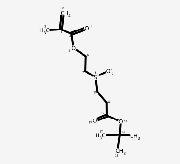 C=C(C)C(=O)OCC[S+]([O-])CCC(=O)OC(C)(C)C